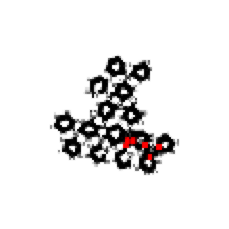 c1ccc(N(c2ccccc2)c2cc3c4c(c2)N(c2ccccn2)c2cc5c(cc2B4c2ccccc2O3)B2c3cc4c(cc3N(c3ccccn3)c3cc(N(c6ccccc6)c6ccccc6)cc(c32)O5)N(c2ccccn2)c2cc(N(c3ccccc3)c3ccccc3)cc3c2B4c2ccccc2N3c2ccccn2)cc1